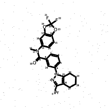 CC(C)c1nn(-c2cccc(C(=O)N(C)c3ccc4c(c3)OC(F)(F)O4)c2)c2c1CCCC2